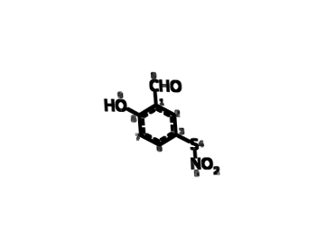 O=Cc1cc(S[N+](=O)[O-])ccc1O